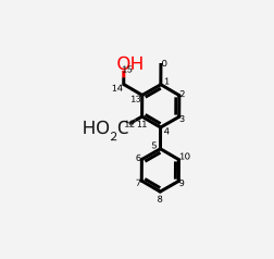 Cc1ccc(-c2ccccc2)c(C(=O)O)c1CO